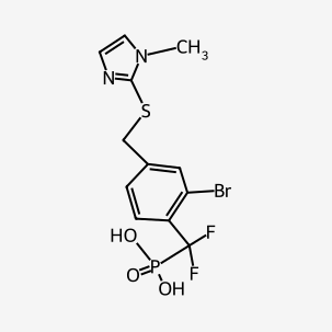 Cn1ccnc1SCc1ccc(C(F)(F)P(=O)(O)O)c(Br)c1